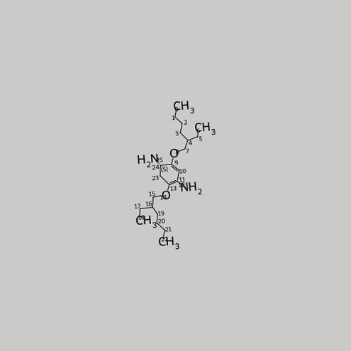 CCCCC(CC)COC1=CC(N)=C(OCC(CC)CCCC)C[C@@H]1N